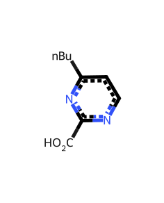 CCCCc1ccnc(C(=O)O)n1